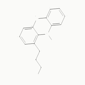 CCCCc1cccc2c1[As](Cl)c1ccccc1O2